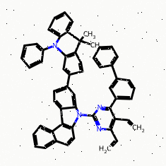 C=Cc1nc(-n2c3cc(-c4ccc5c(c4)N(c4ccccc4)c4ccccc4C5(C)C)ccc3c3c4ccccc4ccc32)nc(-c2cccc(-c3ccccc3)c2)c1C=C